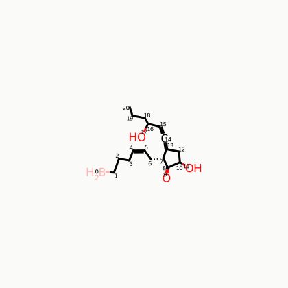 BCCC/C=C\C[C@H]1C(=O)C(O)CC1=C=CC(O)CCC